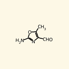 Cc1oc(N)nc1C=O